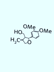 C=C1CO[C@H](c2ccc(OC)c(OC)c2)C1CO